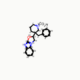 O=C(O)N1CCCC(Cc2ccccc2)(C2Cn3c(nc4ccccc43)O2)C1